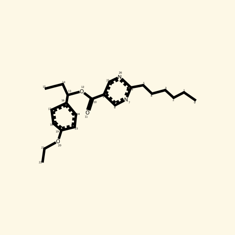 CCCCCCc1ncc(C(=O)OC(CC)c2ccc(OCC)cc2)cn1